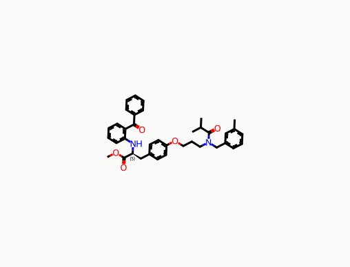 COC(=O)[C@H](Cc1ccc(OCCCN(Cc2cccc(C)c2)C(=O)C(C)C)cc1)Nc1ccccc1C(=O)c1ccccc1